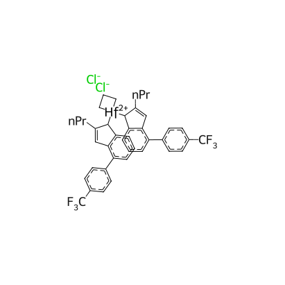 CCCC1=Cc2c(-c3ccc(C(F)(F)F)cc3)cccc2[CH]1[Hf+2]1([CH]2C(CCC)=Cc3c(-c4ccc(C(F)(F)F)cc4)cccc32)[CH2]C[CH2]1.[Cl-].[Cl-]